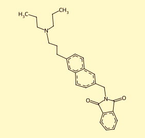 CCCN(CCC)CCCc1ccc2cc(CN3C(=O)c4ccccc4C3=O)ccc2c1